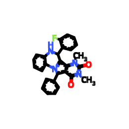 Cn1c(=O)c2c(-c3ccccc3)n3c(c2n(C)c1=O)C(c1ccccc1F)Nc1ccccc1-3